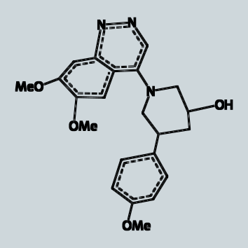 COc1ccc(C2CC(O)CN(c3cnnc4cc(OC)c(OC)cc34)C2)cc1